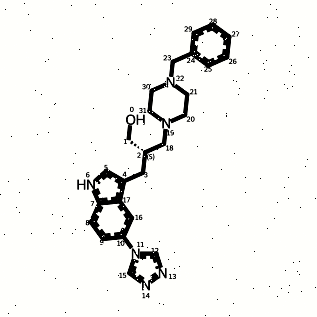 OC[C@@H](Cc1c[nH]c2ccc(-n3cnnc3)cc12)CN1CCN(Cc2ccccc2)CC1